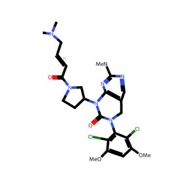 CNc1ncc2c(n1)N(C1CCN(C(=O)/C=C/CN(C)C)C1)C(=O)N(c1c(Cl)c(OC)cc(OC)c1Cl)C2